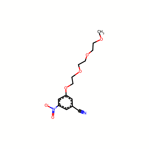 COCCOCCOCCOc1cc(C#N)cc([N+](=O)[O-])c1